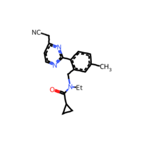 CCN(Cc1cc(C)ccc1-c1nccc(CC#N)n1)C(=O)C1CC1